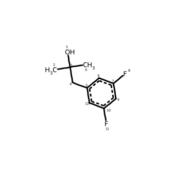 CC(C)(O)Cc1cc(F)cc(F)c1